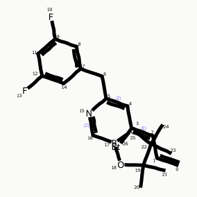 C=C/C=C(/C=C(Cc1cc(F)cc(F)c1)\N=C/B1OC(C)(C)C(C)(C)O1)CC